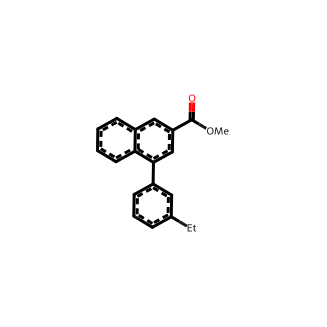 CCc1cccc(-c2cc(C(=O)OC)cc3ccccc23)c1